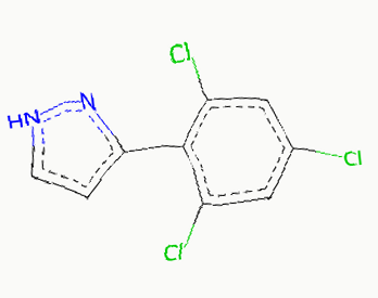 Clc1cc(Cl)c(-c2cc[nH]n2)c(Cl)c1